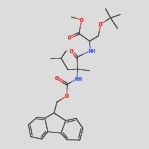 COC(=O)C(COC(C)(C)C)NC(=O)C(C)(CC(C)C)NC(=O)OCC1c2ccccc2-c2ccccc21